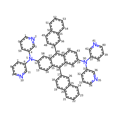 c1cncc(N(c2cccnc2)c2ccc3c(-c4ccc5ccccc5c4)c4cc(N(c5cccnc5)c5cccnc5)ccc4c(-c4ccc5ccccc5c4)c3c2)c1